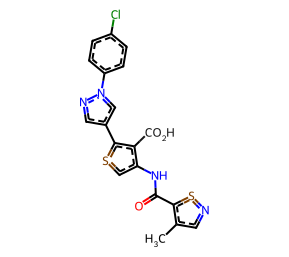 Cc1cnsc1C(=O)Nc1csc(-c2cnn(-c3ccc(Cl)cc3)c2)c1C(=O)O